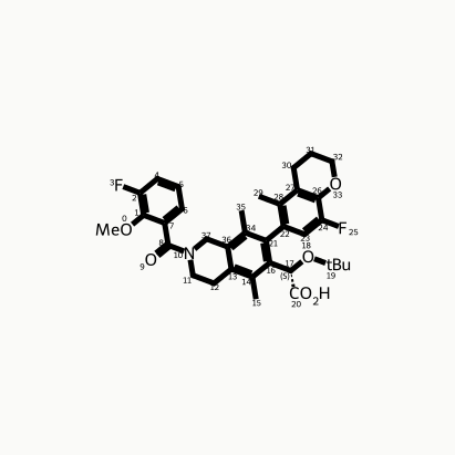 COc1c(F)cccc1C(=O)N1CCc2c(C)c([C@H](OC(C)(C)C)C(=O)O)c(-c3cc(F)c4c(c3C)CCCO4)c(C)c2C1